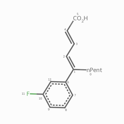 CCCCCC(=CC=CC(=O)O)c1cccc(F)c1